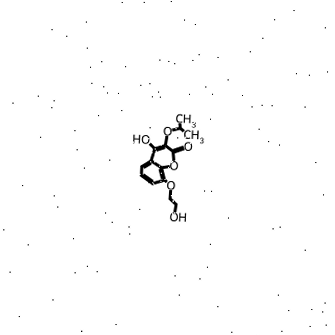 CC(C)Oc1c(O)c2cccc(OCCO)c2oc1=O